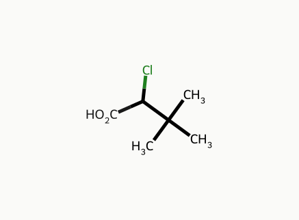 CC(C)(C)C(Cl)C(=O)O